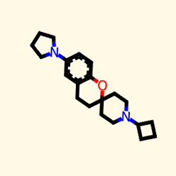 c1cc2c(cc1N1CCCC1)CCC1(CCN(C3CCC3)CC1)O2